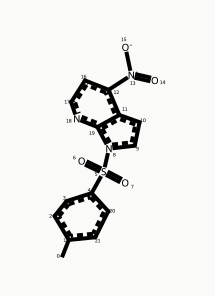 Cc1ccc(S(=O)(=O)n2ccc3c([N+](=O)[O-])ccnc32)cc1